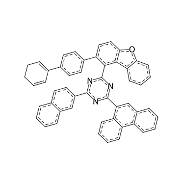 C1=CC(c2ccc(-c3ccc4oc5ccccc5c4c3-c3nc(-c4ccc5ccccc5c4)nc(-c4cc5ccccc5c5ccccc45)n3)cc2)=CCC1